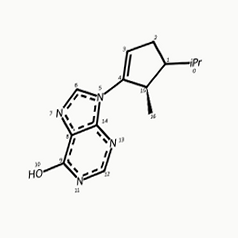 CC(C)C1CC=C(n2cnc3c(O)ncnc32)[C@@H]1C